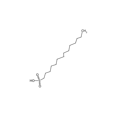 CCCCCCC[CH]CCCCCCS(=O)(=O)O